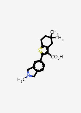 CN1Cc2ccc(-c3sc4c(c3C(=O)O)CC(C)(C)CC4)cc2C1